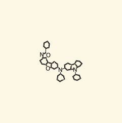 c1ccc(-c2nc3ccc4oc5cc(N(c6ccccc6)c6ccc7c8ccccc8n(-c8ccccc8)c7c6)ccc5c4c3o2)cc1